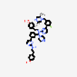 C[C@@H]1CN(Cc2ccc(F)c(-c3ccnc(N(CCc4ccc(O)cc4)C(c4cccc(-c5ccnc(NCCc6ccc(O)cc6)n5)c4)N4CCNCC4)n3)c2)[C@H](C)CN1